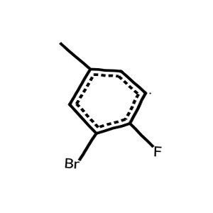 Cc1c[c]c(F)c(Br)c1